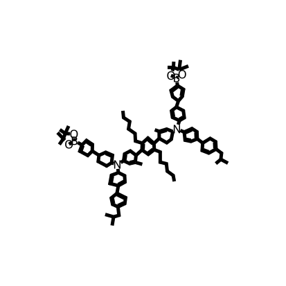 CCCCCCc1cc(C2CCC(N(C3=CCC(C4C=CC(B5OC(C)(C)C(C)(C)O5)=CC4)C=C3)c3ccc(C4C=CC(CC(C)C)=CC4)cc3)C=C2C)c(CCCCCC)cc1C1CC=C(N(C2C=CC(c3ccc(CC(C)C)cc3)=CC2)C2C=CC(C3C=CC(B4OC(C)(C)C(C)(C)O4)=CC3)CC2)C=C1C